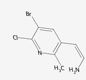 Cc1nc(Cl)c(Br)cc1/C=C\N